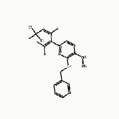 CCC(C)(/C=C(/C)C(=C(C)C)c1ccc(NN=O)c(NCc2cccnc2)n1)CC